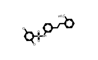 O=C(O)c1ccccc1CCc1cccc(NS(=O)(=O)c2cc(Cl)ccc2Cl)c1